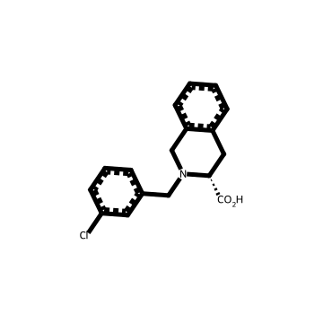 O=C(O)[C@H]1Cc2ccccc2CN1Cc1cccc(Cl)c1